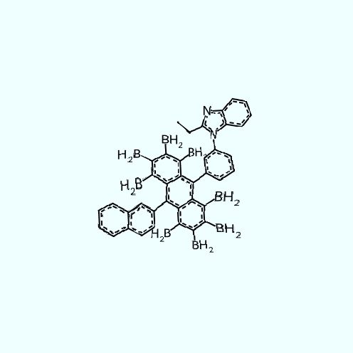 Bc1c(B)c(B)c2c(-c3ccc4ccccc4c3)c3c(B)c(B)c(B)c(B)c3c(-c3cccc(-n4c(CC)nc5ccccc54)c3)c2c1B